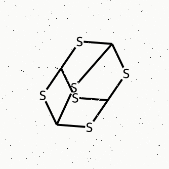 S1[C]2SC3SC1SC(S2)S3